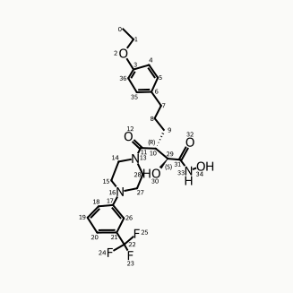 CCOc1ccc(CCC[C@@H](C(=O)N2CCN(c3cccc(C(F)(F)F)c3)CC2)[C@H](O)C(=O)NO)cc1